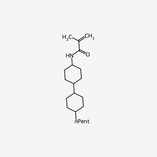 C=C(C)C(=O)NC1CCC(C2CCC(CCCCC)CC2)CC1